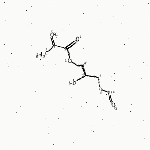 C=C(C)C(=O)OCC(O)COP=O